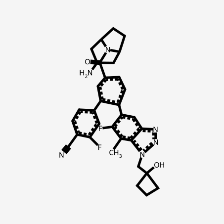 Cc1c(F)c(-c2ccc(C(=O)N3C4CCC3CC(N)C4)cc2-c2ccc(C#N)c(F)c2)cc2nnn(CC3(O)CCC3)c12